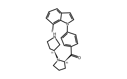 O=C(c1ccc(-n2ccc3cccc(F)c32)cc1)[C@H]1CCCN1[C@H]1CCNC1